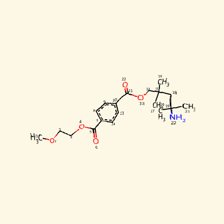 COCCOC(=O)c1ccc(C(=O)OCC(C)(C)CC(C)(C)N)cc1